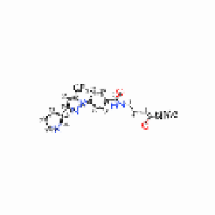 CNC(=O)CCCNC(=O)c1ccc(-n2nc(-c3cccnc3)cc2C(F)(F)F)cc1